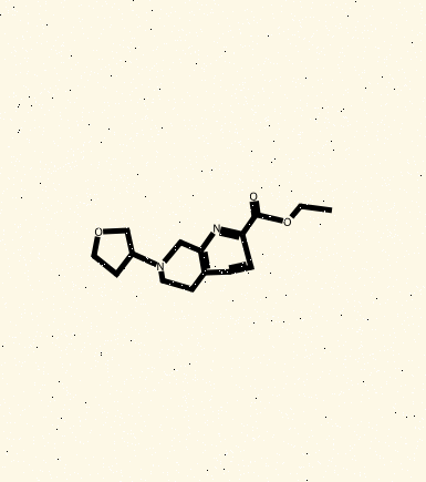 CCOC(=O)c1ccc2c(n1)CN(C1CCOC1)CC2